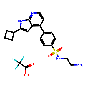 NCCNS(=O)(=O)c1ccc(-c2ccnc3[nH]c(C4CCC4)cc23)cc1.O=C(O)C(F)(F)F